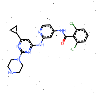 O=C(Nc1ccnc(Nc2cc(C3CC3)nc(N3CCNCC3)n2)c1)c1c(Cl)cccc1Cl